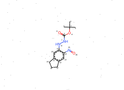 CC(C)(C)OC(=O)NNc1cc2c(cc1N=O)CCC2